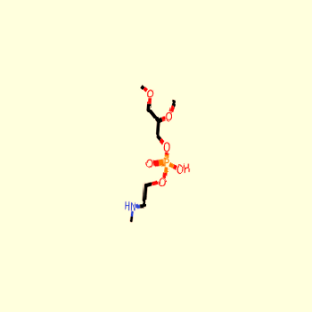 CNCCOP(=O)(O)OCC(COC)OC